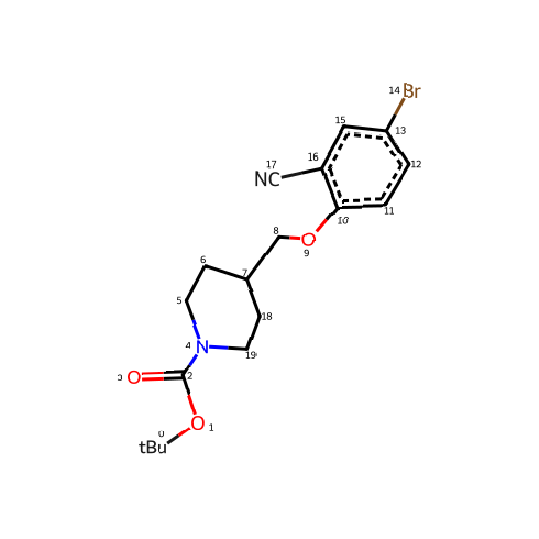 CC(C)(C)OC(=O)N1CCC(COc2ccc(Br)cc2C#N)CC1